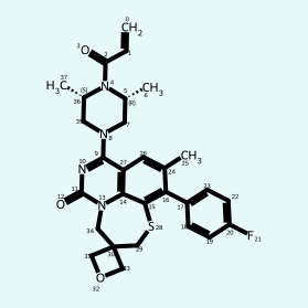 C=CC(=O)N1[C@H](C)CN(c2nc(=O)n3c4c(c(-c5ccc(F)cc5)c(C)cc24)SCC2(COC2)C3)C[C@@H]1C